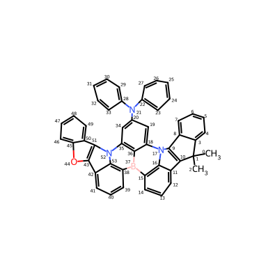 CC1(C)c2ccccc2-c2c1c1cccc3c1n2-c1cc(N(c2ccccc2)c2ccccc2)cc2c1B3c1cccc3c4oc5ccccc5c4n-2c13